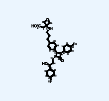 O=C(O)CC1(NCCCc2ccc(C3[C@@H](CCC(O)c4ccc(F)cc4)C(=O)N3c3ccc(F)cc3)cc2)COC1